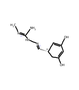 C/N=C(\N)N/N=C/[C@@H]1C=C(O)C=C(O)C1